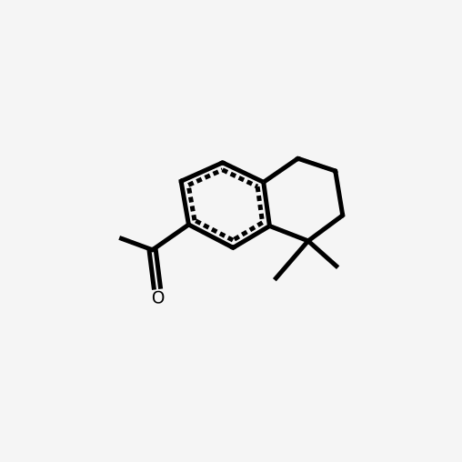 CC(=O)c1ccc2c(c1)C(C)(C)CCC2